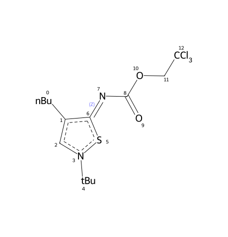 CCCCc1cn(C(C)(C)C)s/c1=N\C(=O)OCC(Cl)(Cl)Cl